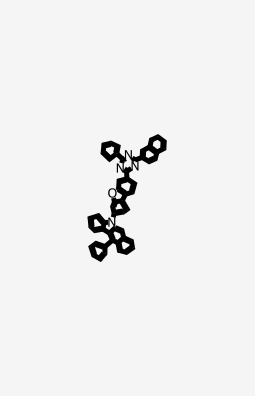 C1=Cc2ccc(-c3nc(-c4ccccc4)nc(-c4ccc5c(c4)oc4cc(-n6c7ccccc7c7c(-c8ccccc8)c8ccccc8cc76)ccc45)n3)cc2CC1